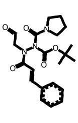 CC(C)(C)OC(=O)N(C(=O)N1CCCC1)N(C[C]=O)C(=O)C=Cc1ccccc1